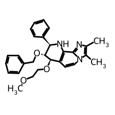 COCCO[C@@H]1c2ccn3c(C)c(C)nc3c2N[C@H](c2ccccc2)[C@H]1OCc1ccccc1